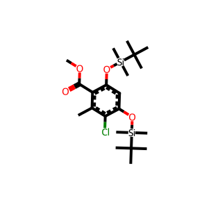 COC(=O)c1c(O[Si](C)(C)C(C)(C)C)cc(O[Si](C)(C)C(C)(C)C)c(Cl)c1C